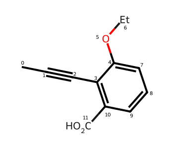 CC#Cc1c(OCC)cccc1C(=O)O